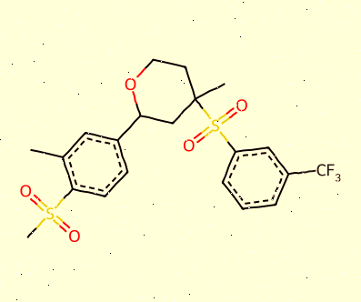 Cc1cc(C2CC(C)(S(=O)(=O)c3cccc(C(F)(F)F)c3)CCO2)ccc1S(C)(=O)=O